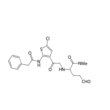 CNC(=O)C(CCC=O)NCC(=O)c1cc(Cl)sc1NC(=O)Cc1ccccc1